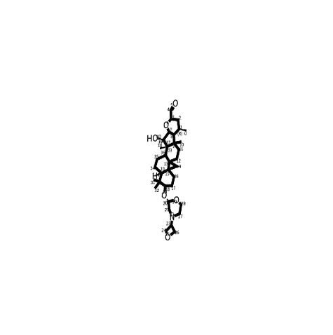 C[C@@H]1CC(C=O)OC2C1C1(C)CCC34CC35CCC(O[C@H]3CN(C6COC6)CCO3)C(C)(C)[C@@H]5CCC4[C@]1(C)[C@H]2O